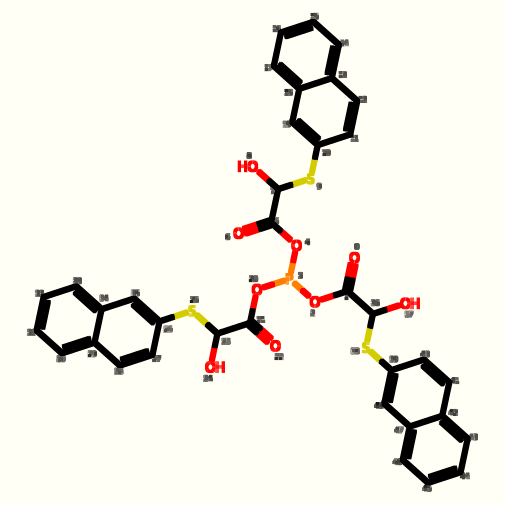 O=C(OP(OC(=O)C(O)Sc1ccc2ccccc2c1)OC(=O)C(O)Sc1ccc2ccccc2c1)C(O)Sc1ccc2ccccc2c1